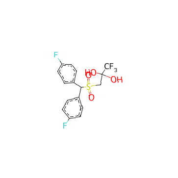 O=S(=O)(CC(O)(O)C(F)(F)F)C(c1ccc(F)cc1)c1ccc(F)cc1